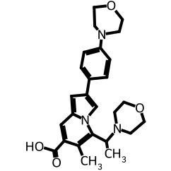 Cc1c(C(=O)O)cc2cc(-c3ccc(N4CCOCC4)cc3)cn2c1C(C)N1CCOCC1